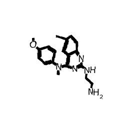 COc1ccc(N(C)c2nc(NCCN)nc3ccc(C)cc23)cc1